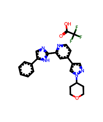 O=C(O)C(F)(F)F.c1ccc(-c2cnc(-c3cc(-c4cnn(C5CCOCC5)c4)ccn3)[nH]2)cc1